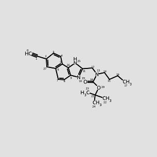 C#Cc1ccc2c(ccc3nc(CN(CCCC)C(=O)OC(C)(C)C)[nH]c32)c1